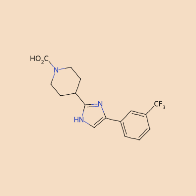 O=C(O)N1CCC(c2nc(-c3cccc(C(F)(F)F)c3)c[nH]2)CC1